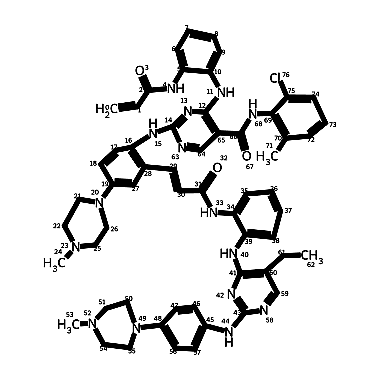 C=CC(=O)Nc1ccccc1Nc1nc(Nc2ccc(N3CCN(C)CC3)cc2/C=C/C(=O)Nc2ccccc2Nc2nc(Nc3ccc(N4CCN(C)CC4)cc3)ncc2CC)ncc1C(=O)Nc1c(C)cccc1Cl